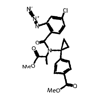 COC(=O)c1ccc(C2(N(C(=O)c3ccc(Cl)cc3N=[N+]=[N-])C(C)C(=O)OC)CC2)cc1